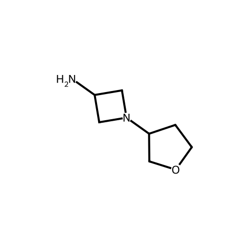 NC1CN(C2CCOC2)C1